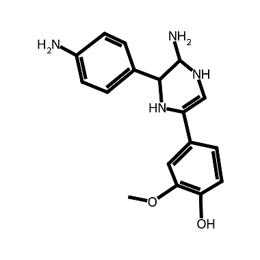 COc1cc(C2=CNC(N)C(c3ccc(N)cc3)N2)ccc1O